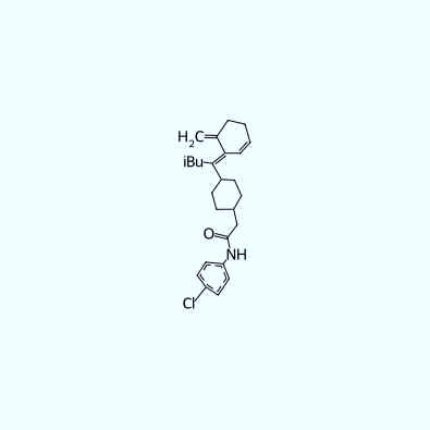 C=C1CCC=C/C1=C(/C(C)CC)C1CCC(CC(=O)Nc2ccc(Cl)cc2)CC1